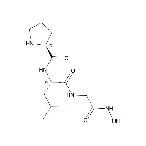 CC(C)C[C@H](NC(=O)[C@@H]1CCCN1)C(=O)NCC(=O)NO